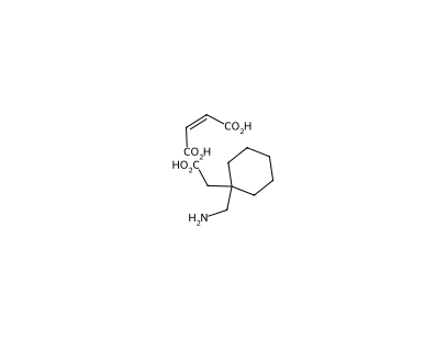 NCC1(CC(=O)O)CCCCC1.O=C(O)/C=C\C(=O)O